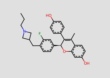 CCCN1CC(Cc2ccc([C@@H]3Oc4cc(O)ccc4C(C)=C3c3ccc(O)cc3)cc2F)C1